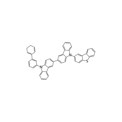 C1=CC(c2cccc(-n3c4ccccc4c4cc(-c5ccc6c(c5)c5ccccc5n6-c5ccc6sc7ccccc7c6c5)ccc43)c2)=CCC1